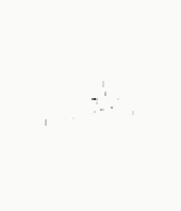 CC(Br)CCCN(O[Si](C)(C)C(C)(C)C)C(=O)OC(C)(C)C